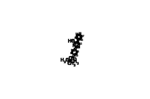 CC(C)(C)OC(=O)N1CCN(c2ncc(-c3ccccc3)c(O)n2)CC1